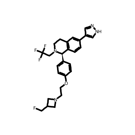 FCC1CN(CCOc2ccc([C@@H]3c4ccc(-c5cn[nH]c5)cc4CCN3CC(F)(F)F)cc2)C1